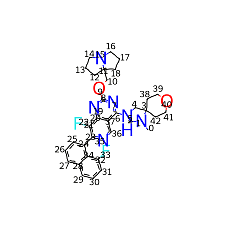 CN(C)C1(CNc2nc(OCC34CCCN3CCC4)nc3c(F)c(-c4cccc5cccc(F)c45)ncc23)CCOCC1